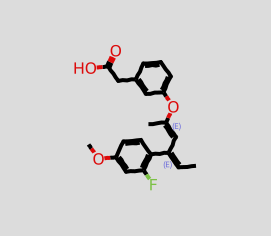 C/C=C(\C=C(/C)Oc1cccc(CC(=O)O)c1)c1ccc(OC)cc1F